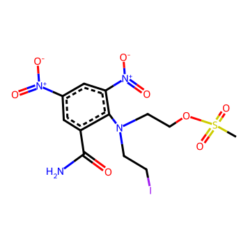 CS(=O)(=O)OCCN(CCI)c1c(C(N)=O)cc([N+](=O)[O-])cc1[N+](=O)[O-]